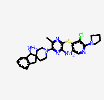 Cc1nc(Sc2ccnc(N3CCCC3)c2Cl)c(N)nc1N1CCC2(CC1)Cc1ccccc1[C@H]2N